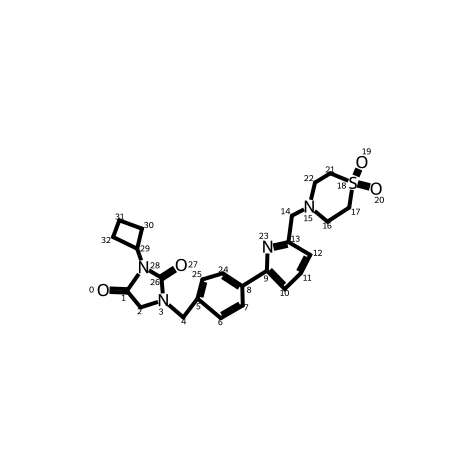 O=C1CN(Cc2ccc(-c3cccc(CN4CCS(=O)(=O)CC4)n3)cc2)C(=O)N1C1CCC1